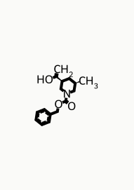 C=C(O)[C@H]1C[C@H](C)CN(C(=O)OCc2ccccc2)C1